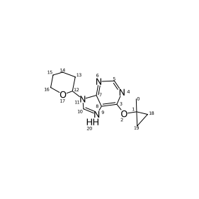 CC1(Oc2ncnc3c2ncn3C2CCCCO2)CC1.[HH]